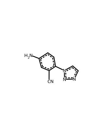 N#Cc1cc(N)ccc1-n1ccnn1